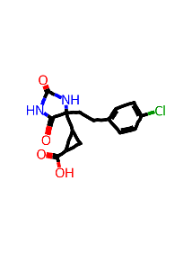 O=C1NC(=O)C(CCc2ccc(Cl)cc2)(C2CC2C(=O)O)N1